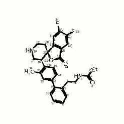 CCC(=O)NCCc1ccccc1-c1ccc([C@H]2CNCC[C@@]23OC(=O)c2cc(F)c(F)cc23)c(C)c1